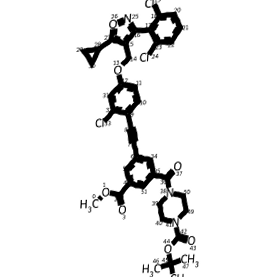 COC(=O)c1cc(C#Cc2ccc(OCc3c(-c4c(Cl)cccc4Cl)noc3C3CC3)cc2Cl)cc(C(=O)N2CCN(C(=O)OC(C)(C)C)CC2)c1